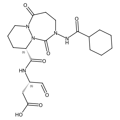 O=C[C@H](CC(=O)O)NC(=O)[C@@H]1CCCN2C(=O)CCN(NC(=O)C3CCCCC3)C(=O)N12